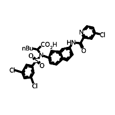 CCCCC(C(=O)O)N(c1ccc2ccc(NC(=O)c3cc(Cl)ccn3)cc2c1)S(=O)(=O)c1cc(Cl)cc(Cl)c1